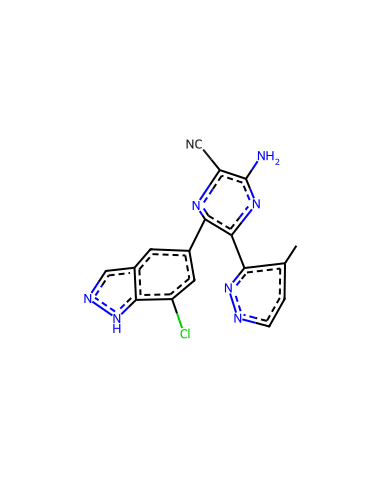 Cc1ccnnc1-c1nc(N)c(C#N)nc1-c1cc(Cl)c2[nH]ncc2c1